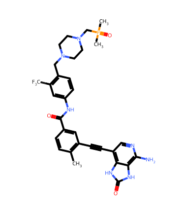 Cc1ccc(C(=O)Nc2ccc(CN3CCN(CP(C)(C)=O)CC3)c(C(F)(F)F)c2)cc1C#Cc1cnc(N)c2[nH]c(=O)[nH]c12